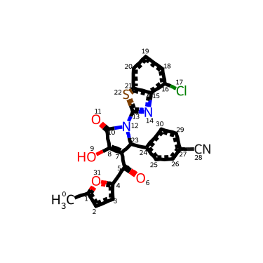 Cc1ccc(C(=O)C2=C(O)C(=O)N(c3nc4c(Cl)cccc4s3)C2c2ccc(C#N)cc2)o1